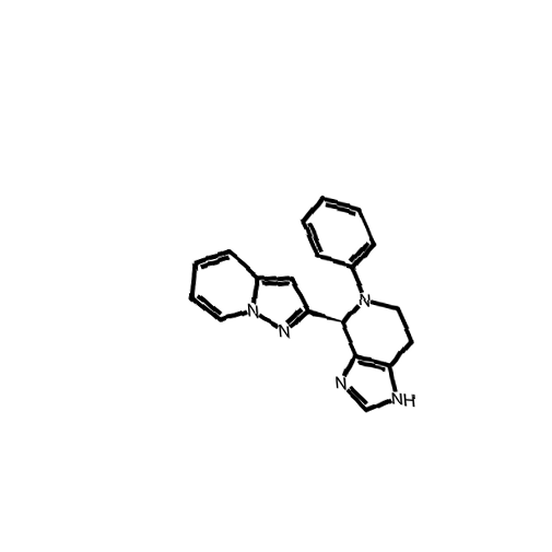 c1ccc(N2CCc3[nH]cnc3[C@H]2c2cc3ccccn3n2)cc1